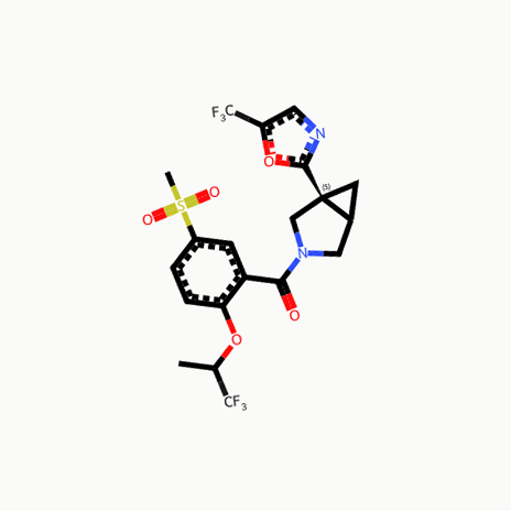 CC(Oc1ccc(S(C)(=O)=O)cc1C(=O)N1CC2C[C@@]2(c2ncc(C(F)(F)F)o2)C1)C(F)(F)F